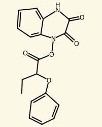 CCC(Oc1ccccc1)C(=O)On1c(=O)c(=O)[nH]c2ccccc21